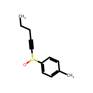 CCCC#C[S+]([O-])c1ccc(C)cc1